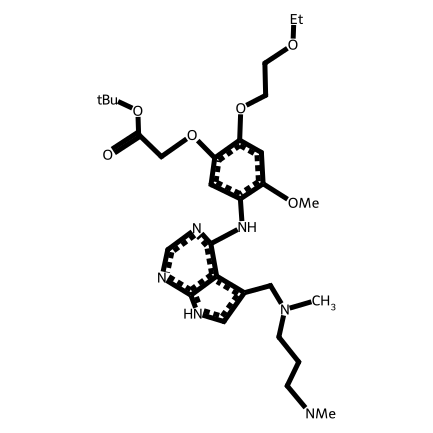 CCOCCOc1cc(OC)c(Nc2ncnc3[nH]cc(CN(C)CCCNC)c23)cc1OCC(=O)OC(C)(C)C